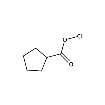 O=C(OCl)C1CCCC1